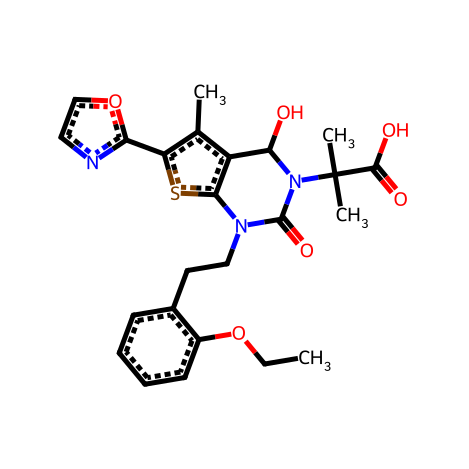 CCOc1ccccc1CCN1C(=O)N(C(C)(C)C(=O)O)C(O)c2c1sc(-c1ncco1)c2C